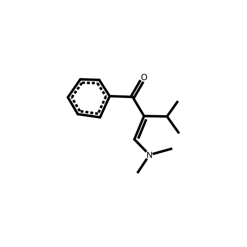 CC(C)C(=CN(C)C)C(=O)c1ccccc1